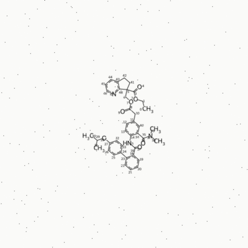 CCOC(=O)C1(COC(=O)Cc2ccc(NC(=O)c3ccccc3-c3ccc(OC(C)C)cc3)c(C(=O)N(C)C)c2)CCc2cccnc21